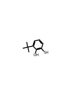 CC(C)(C)c1cccc(S)c1O